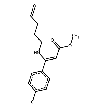 COC(=O)/C=C(\NCCCC=O)c1ccc(Cl)cc1